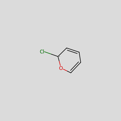 Cl[C]1C=CC=CO1